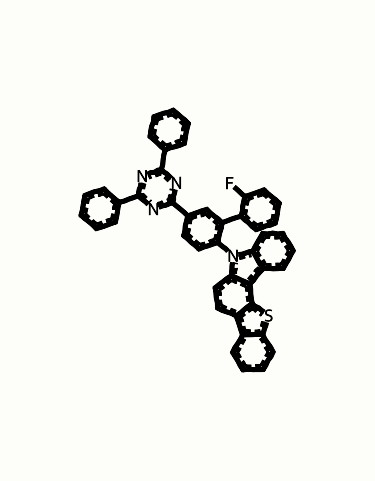 Fc1ccccc1-c1cc(-c2nc(-c3ccccc3)nc(-c3ccccc3)n2)ccc1-n1c2ccccc2c2c3sc4ccccc4c3ccc21